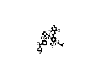 CN1CCN(C(=O)c2cccc(S(=O)(=O)N3CCS[C@H]3C(=O)OC(Cc3c(Cl)cncc3Cl)c3ccc(OC(F)F)c(OCC4CC4)c3)c2)CC1